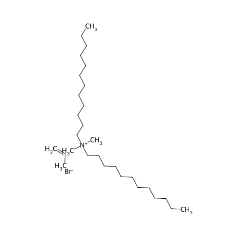 C=CC.CCCCCCCCCCCC[N+](C)(C)CCCCCCCCCCCC.[Br-]